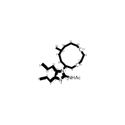 C=C/C=c1/nc(NC(C)=O)n(C2CCCCCCCCC(C)CC2)/c1=C/C=C